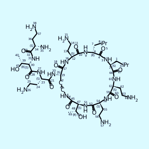 CC(C)C[C@@H]1NC(=O)[C@@H](CC(C)C)NC(=O)[C@H](CCN)NC(=O)[C@@H](NC(=O)[C@H](CCN)NC(=O)[C@@H](NC(=O)[C@@H](N)CCN)[C@@H](C)O)CCNC(=O)[C@H]([C@@H](C)O)NC(=O)[C@H](CCN)NC(=O)[C@H](CCN)NC1=O